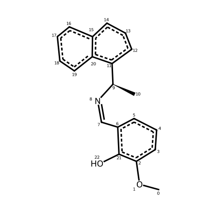 COc1cccc(/C=N\[C@H](C)c2cccc3ccccc23)c1O